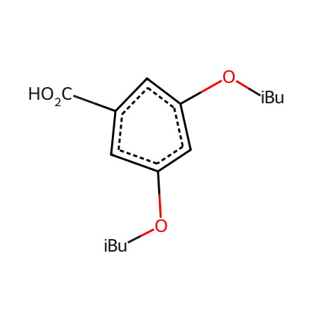 CCC(C)Oc1cc(OC(C)CC)cc(C(=O)O)c1